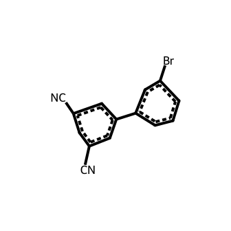 N#Cc1cc(C#N)cc(-c2cccc(Br)c2)c1